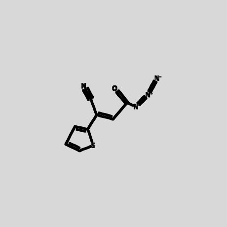 N#C/C(=C\C(=O)N=[N+]=[N-])c1cccs1